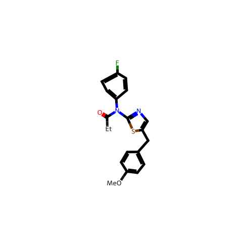 CCC(=O)N(c1ccc(F)cc1)c1ncc(Cc2ccc(OC)cc2)s1